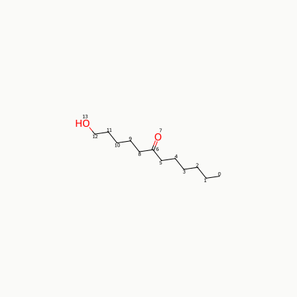 CCCCCCC(=O)CCCCCO